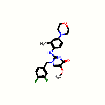 COc1cn(Cc2ccc(F)c(F)c2)c(Nc2ccc(N3CCOCC3)cc2C)nc1=O